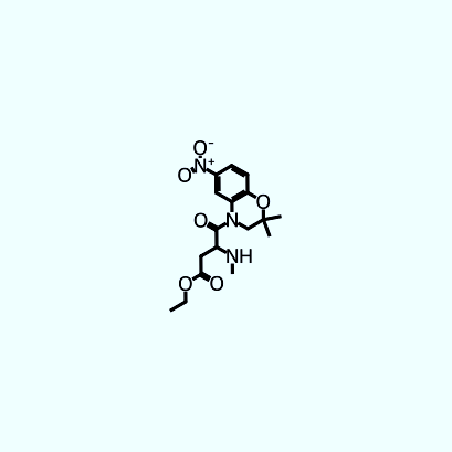 CCOC(=O)CC(NC)C(=O)N1CC(C)(C)Oc2ccc([N+](=O)[O-])cc21